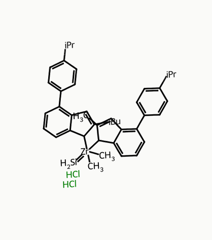 CCC(C)C1=Cc2c(-c3ccc(C(C)C)cc3)cccc2[CH]1[Zr]([CH3])([CH3])(=[SiH2])[CH]1C(C)=Cc2c(-c3ccc(C(C)C)cc3)cccc21.Cl.Cl